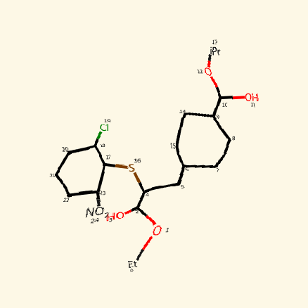 CCOC(O)C(CC1CCC(C(O)OC(C)C)CC1)SC1C(Cl)CCCC1[N+](=O)[O-]